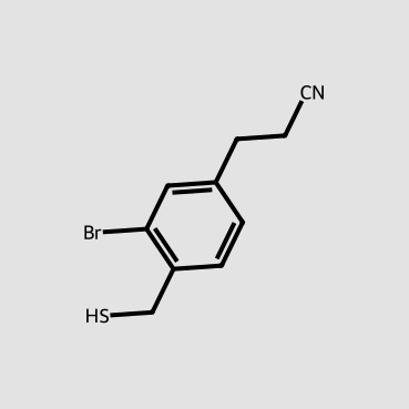 N#CCCc1ccc(CS)c(Br)c1